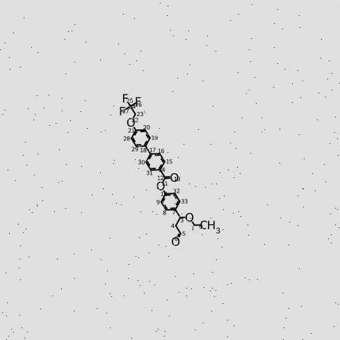 CCOC(CC=O)c1ccc(OC(=O)c2ccc(-c3ccc(OCC(F)(F)F)cc3)cc2)cc1